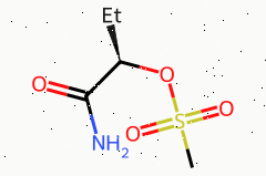 CC[C@@H](OS(C)(=O)=O)C(N)=O